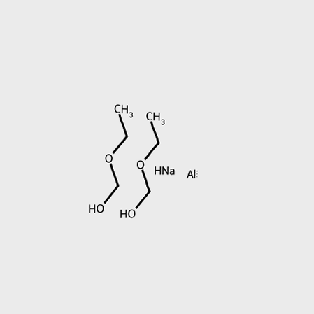 CCOCO.CCOCO.[Al].[NaH]